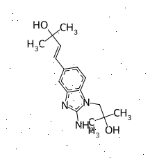 CC(C)(O)/C=C/c1ccc2c(c1)nc(N)n2CC(C)(C)O